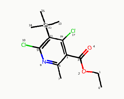 CCOC(=O)c1c(C)nc(Cl)c([Si](C)(C)C)c1Cl